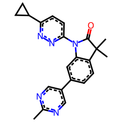 Cc1ncc(-c2ccc3c(c2)N(c2ccc(C4CC4)nn2)C(=O)C3(C)C)cn1